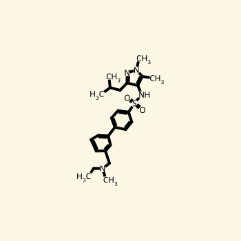 CCN(C)Cc1cccc(-c2ccc(S(=O)(=O)Nc3c(CC(C)C)nn(C)c3C)cc2)c1